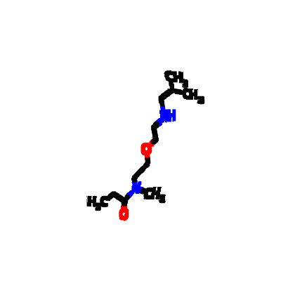 CCC(=O)N(C)CCOCCNCC(C)C